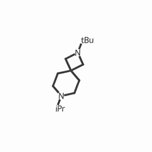 CC(C)N1CCC2(CC1)CN(C(C)(C)C)C2